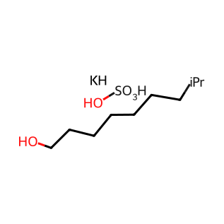 CC(C)CCCCCCCO.O=S(=O)(O)O.[KH]